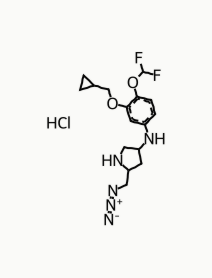 Cl.[N-]=[N+]=NCC1CC(Nc2ccc(OC(F)F)c(OCC3CC3)c2)CN1